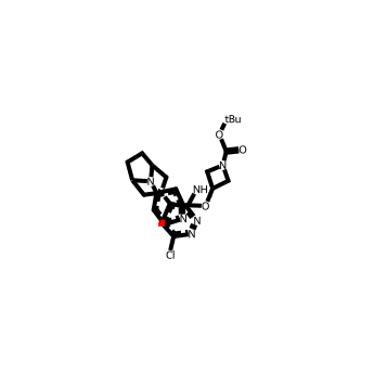 CC(C)(C)OC(=O)N1CC(Oc2cc(N3C4CCC3CN(c3cc(Cl)nnc3N)C4)ccn2)C1